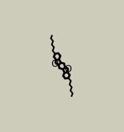 CCCCCCc1ccc2c(c1)oc1cc3c(cc12)oc1cc(CCCCCC)ccc13